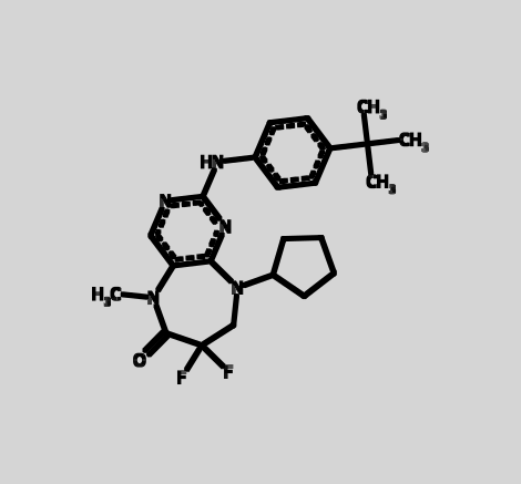 CN1C(=O)C(F)(F)CN(C2CCCC2)c2nc(Nc3ccc(C(C)(C)C)cc3)ncc21